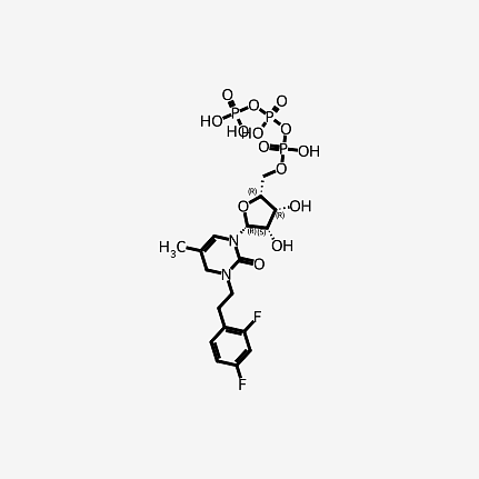 CC1=CN([C@@H]2O[C@H](COP(=O)(O)OP(=O)(O)OP(=O)(O)O)[C@H](O)[C@@H]2O)C(=O)N(CCc2ccc(F)cc2F)C1